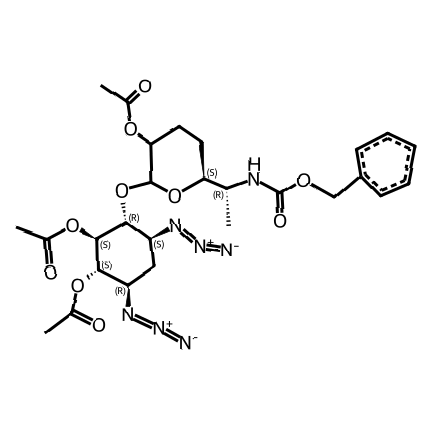 CC(=O)OC1CC[C@@H]([C@@H](C)NC(=O)OCc2ccccc2)OC1O[C@H]1[C@H](OC(C)=O)[C@@H](OC(C)=O)[C@H](N=[N+]=[N-])C[C@@H]1N=[N+]=[N-]